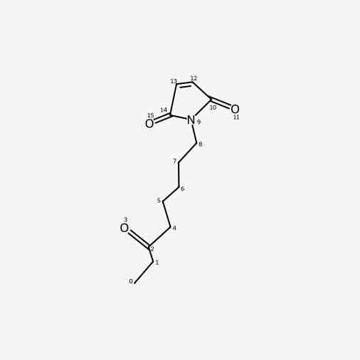 CCC(=O)CCCCCN1C(=O)C=CC1=O